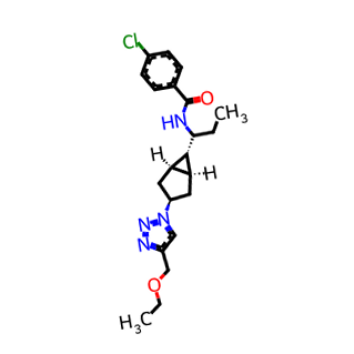 CCOCc1cn([C@H]2C[C@@H]3[C@H](C2)[C@H]3C(CC)NC(=O)c2ccc(Cl)cc2)nn1